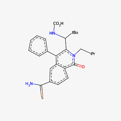 CC(C)Cn1c(C(NC(=O)O)C(C)(C)C)c(-c2ccccc2)c2cc(C(N)=S)ccc2c1=O